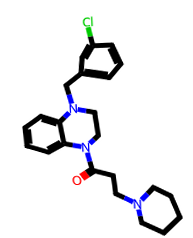 O=C(CCN1CCCCC1)N1CCN(Cc2cccc(Cl)c2)c2ccccc21